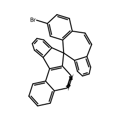 Brc1ccc2c(c1)C1(c3ccccc3C=C2)c2ccccc2-c2c1c1ccccc1c1ccccc21